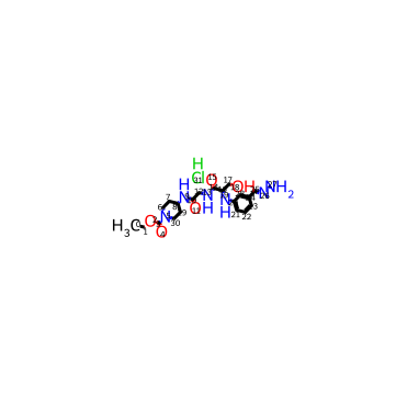 CCOC(=O)N1CCC(NC(=O)CNC(=O)C(CO)Nc2cccc(C=NN)c2)CC1.Cl